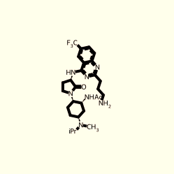 CC(=O)N[C@@H]1C[C@H](N(C)C(C)C)CC[C@@H]1N1CC[C@H](Nc2nc(CCCN)nc3ccc(C(F)(F)F)cc23)C1=O